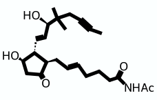 CC#CCC(C)(C)[C@H](O)C=C[C@H]1[C@H](O)CC(=O)[C@@H]1CC=CCCCC(=O)NC(C)=O